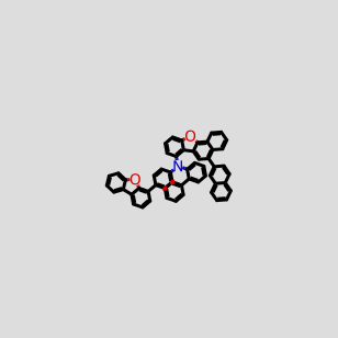 c1ccc(-c2ccccc2N(c2ccc(-c3cccc4c3oc3ccccc34)cc2)c2cccc3oc4c5ccccc5c(-c5ccc6ccccc6c5)cc4c23)cc1